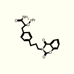 CCCOC(Cc1ccc(CCCn2c(=O)oc3ccccc3c2=O)cc1)C(N)=O